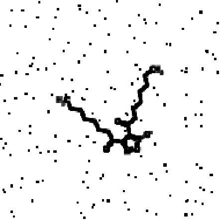 CCCCCCCC(=O)c1no[n+]([O-])c1C(=O)CCCCCCC